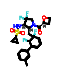 Cc1cccc(C2=CC=CC(F)(C[C@H]3[C@@H](NS(=O)(=O)C4CC4)C(F)(F)CN3C(=O)[C@H]3CCO3)C2F)c1